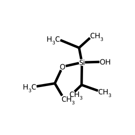 CC(C)O[Si](O)(C(C)C)C(C)C